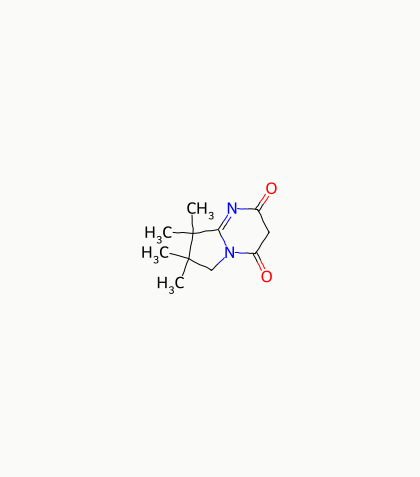 CC1(C)CN2C(=O)CC(=O)N=C2C1(C)C